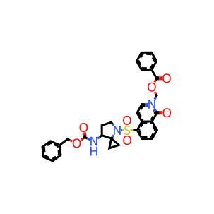 O=C(NC1CCN(S(=O)(=O)c2cccc3c(=O)n(COC(=O)c4ccccc4)ccc23)C12CC2)OCc1ccccc1